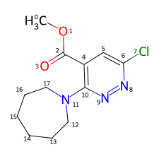 COC(=O)c1cc(Cl)nnc1N1CCCCCC1